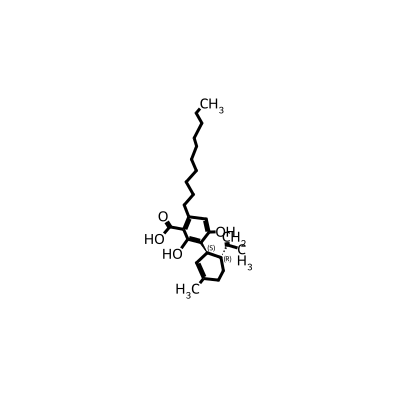 C=C(C)[C@@H]1CCC(C)=C[C@H]1c1c(O)cc(CCCCCCCCCC)c(C(=O)O)c1O